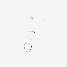 C=CC[C@@H](CCCCl)C(=O)N(C)[C@@H](C)[C@@H](O)c1ccccc1